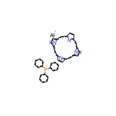 C1=Cc2cc3ccc(cc4nc(cc5ccc(cc1n2)[nH]5)C=C4)[nH]3.[Al].c1ccc(P(c2ccccc2)c2ccccc2)cc1